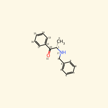 C[C@H](NCc1ccccc1)C(=O)c1ccccc1